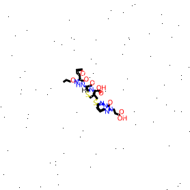 CCCON=C(C(=O)NC1C(=O)N2C(C(=O)O)=C(CSc3ccc4nn(CCC(=O)O)c(=O)n4n3)CS[C@@H]12)c1ccco1